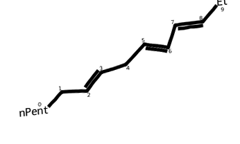 [CH2]CCCCCC=CCC=CC=CCC